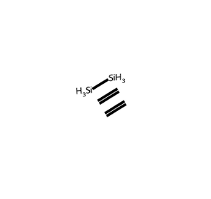 C=C.C=C.[SiH3][SiH3]